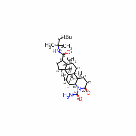 CC(C)(C)CC(C)(C)NC(=O)C1CC[C@H]2[C@@H]3CCC4N(C(N)=O)C(=O)CC[C@]4(C)[C@@H]3CC[C@]12C